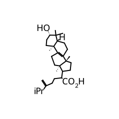 C=C(CCC(C(=O)O)C1CC[C@@]2(C)C3=C(CC[C@]12C)[C@@]1(C)CC[C@H](O)C(C)(C)[C@@H]1CC3)C(C)C